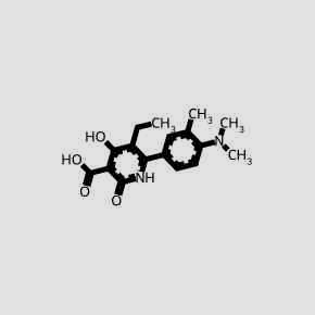 CCc1c(-c2ccc(N(C)C)c(C)c2)[nH]c(=O)c(C(=O)O)c1O